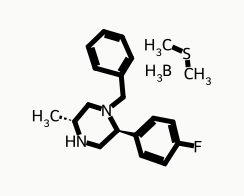 B.CSC.C[C@@H]1CN(Cc2ccccc2)[C@@H](c2ccc(F)cc2)CN1